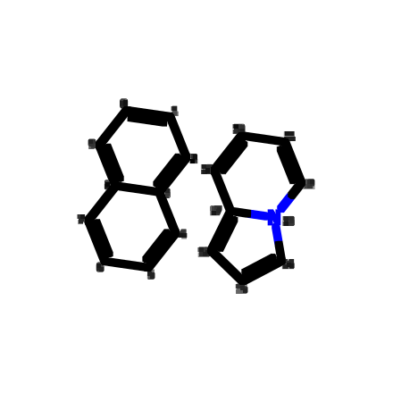 c1ccc2ccccc2c1.c1ccn2cccc2c1